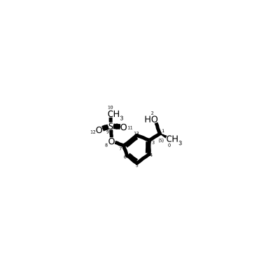 C[C@H](O)c1cccc(OS(C)(=O)=O)c1